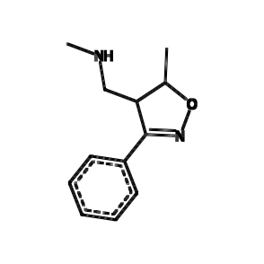 CNCC1C(c2ccccc2)=NOC1C